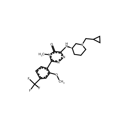 COc1cc(C(F)(F)F)ccc1-c1nnc(N[C@@H]2CCCN(CC3CC3)C2)c(=O)n1C